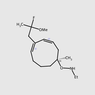 CCNO[C@]1(C)C/C=C\C(CC(C)(F)OC)=C/CCC1